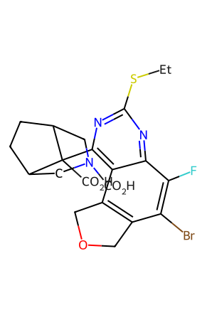 CCSc1nc(C2(C(=O)O)C3CCC2CN(C(=O)O)C3)c2c3c(c(Br)c(F)c2n1)COC3